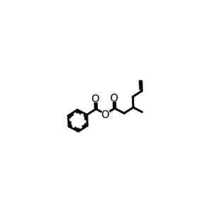 C=CCC(C)CC(=O)OC(=O)c1ccccc1